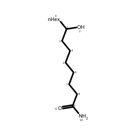 CCCCCCC(O)CCCCCCC(N)=O